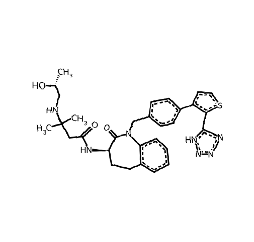 C[C@@H](O)CNC(C)(C)CC(=O)N[C@@H]1CCc2ccccc2N(Cc2ccc(-c3ccsc3-c3nnn[nH]3)cc2)C1=O